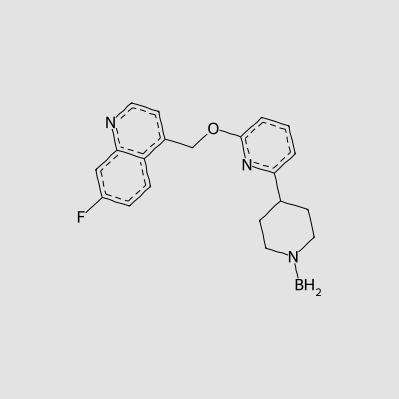 BN1CCC(c2cccc(OCc3ccnc4cc(F)ccc34)n2)CC1